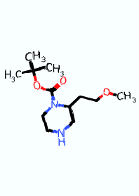 COCCC1CNCCN1C(=O)OC(C)(C)C